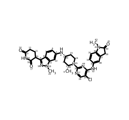 C[C@@H]1C[C@H](Nc2ccc3c(C4CCC(=O)NC4=O)nn(C)c3c2)CCN1c1ncc(Cl)c(Nc2ccc3c(c2)CC(=O)N3C)n1